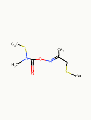 CC(CSC(C)(C)C)=NOC(=O)N(C)SC(Cl)(Cl)Cl